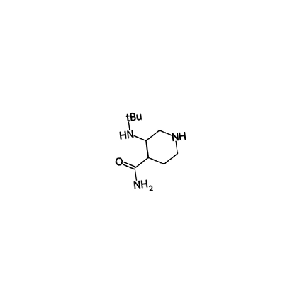 CC(C)(C)NC1CNCCC1C(N)=O